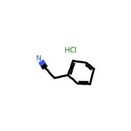 Cl.N#CCc1ccccc1